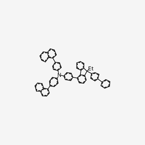 CCC1(c2ccc(-c3ccccc3)cc2)c2ccccc2-c2c(-c3ccc(N(c4ccc(-c5cccc6ccccc56)cc4)c4ccc(-c5cccc6ccccc56)cc4)cc3)cccc21